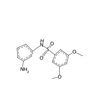 COc1cc(OC)cc(S(=O)(=O)Nc2cccc(N)c2)c1